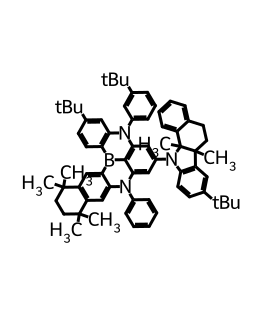 CC(C)(C)c1cccc(N2c3cc(C(C)(C)C)ccc3B3c4cc5c(cc4N(c4ccccc4)c4cc(N6c7ccc(C(C)(C)C)cc7C7(C)CCc8ccccc8C67C)cc2c43)C(C)(C)CCC5(C)C)c1